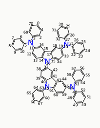 c1ccc(N(c2ccccc2)c2ccc3c(c2)c2cc(N(c4ccccc4)c4ccccc4)ccc2n3-c2ccc3c(c2)c2cc(N(c4ccccc4)c4ccccc4)ccc2n3-c2ccccc2)cc1